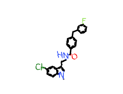 Cn1cc(CCNC(=O)c2ccc(Cc3cccc(F)c3)cc2)c2cc(Cl)ccc21